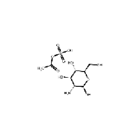 CC(=O)OS(=O)(=O)O.N[C@@H]1[C@@H](O)[C@H](O)[C@@H](CO)O[C@H]1O